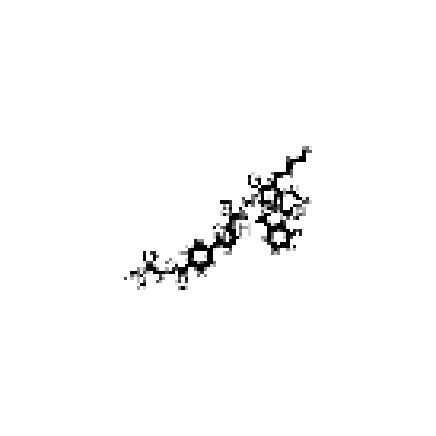 CCCCCC(C(=O)NCNC(=O)c1ccc(-c2ccc(C(=O)OCC(=O)N(C)C)cc2)o1)[C@@H](CC)N(C=O)OCc1ccccc1